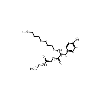 CCCCCCCCCCCCCCCCCCN[C@@H](Cc1ccc(O)cc1)C(=O)NCC(=O)NCC(=O)O